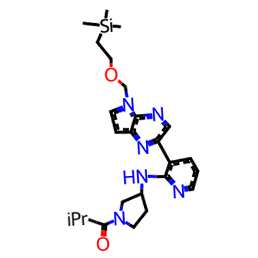 CC(C)C(=O)N1CCC(Nc2ncccc2-c2cnc3c(ccn3COCC[Si](C)(C)C)n2)C1